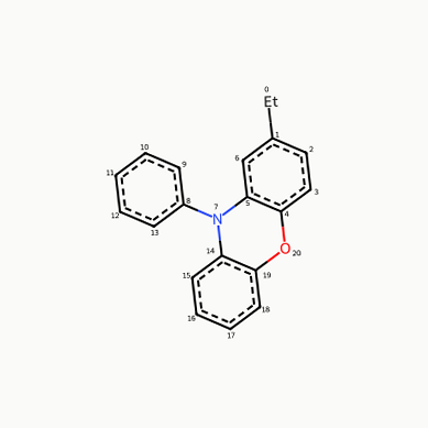 CCc1ccc2c(c1)N(c1ccccc1)c1ccccc1O2